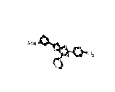 CC(=O)Nc1cccc(-c2cc3nc(-c4ccc(N)nc4)nc(N4CCOCC4)c3s2)c1